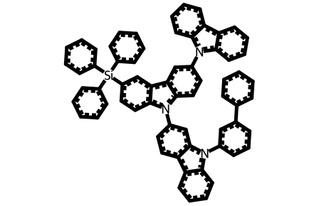 c1ccc(-c2cccc(-n3c4ccccc4c4ccc(-n5c6ccc(-n7c8ccccc8c8ccccc87)cc6c6cc([Si](c7ccccc7)(c7ccccc7)c7ccccc7)ccc65)cc43)c2)cc1